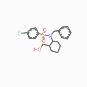 O=S(=O)(c1ccc(Cl)cc1)N(Cc1ccccc1)C1CCCCC1CO